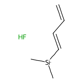 C=CC=C[Si](C)C.F